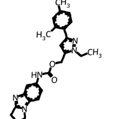 CCn1nc(-c2ccc(C)cc2C)cc1COC(=O)Nc1ccc2c(c1)nc1n2CCC1